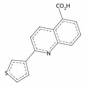 O=C(O)c1cccc2nc(-c3ccsc3)ccc12